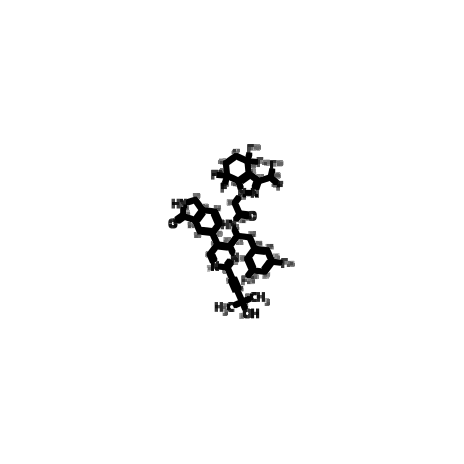 CC(C)(O)C#Cc1ncc(-c2ccc3c(c2)C(=O)NC3)c(C(Cc2cc(F)cc(F)c2)NC(=O)Cn2nc(C(F)F)c3c2C(F)(F)CCC3(F)F)n1